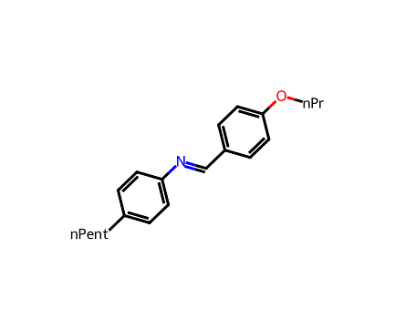 CCCCCc1ccc(N=Cc2ccc(OCCC)cc2)cc1